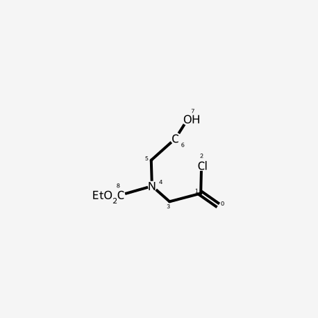 C=C(Cl)CN(CCO)C(=O)OCC